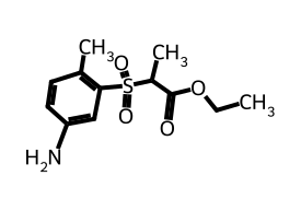 CCOC(=O)C(C)S(=O)(=O)c1cc(N)ccc1C